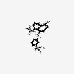 CS(=O)(=O)Nc1cccc2c(O)ccc(/N=N/c3cccc(S(=O)(=O)F)c3)c12